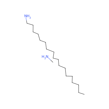 CCCCCCCCCCCCCCCCCCN.CN